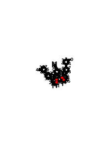 Cc1cccc(-c2ccc3c4ccccc4n(-c4cc(C#N)cc(-n5c6ccccc6c6ccc(-c7cccc(C)c7)cc65)c4-c4cc(C(F)(F)F)cc(C(F)(F)F)c4)c3c2)c1